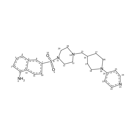 Nc1cccc2cc(S(=O)(=O)N3CCN(CC4CCN(c5ccncc5)CC4)CC3)ccc12